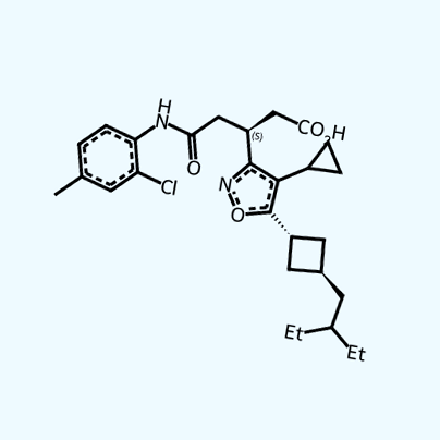 CCC(CC)C[C@H]1C[C@H](c2onc([C@H](CC(=O)O)CC(=O)Nc3ccc(C)cc3Cl)c2C2CC2)C1